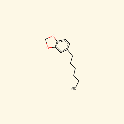 N#CCCCCCc1ccc2c(c1)OCO2